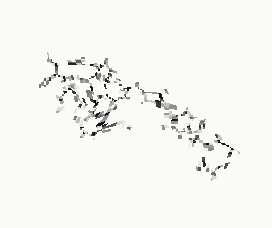 C=CC(=O)N[C@H]1CCC[C@@H]1C(Cn1ccnc1CC)(c1cccc(F)c1)C1CCN(CC2CN(c3ccc(S(=O)(=O)C4CCCCC4)cc3)C2)CC1